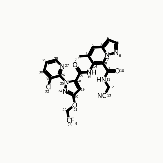 Cc1cc2ccnn2c(C(=O)NCC#N)c1NC(=O)c1cc(OCC(F)(F)F)nn1-c1ncccc1Cl